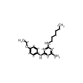 CCCCCCNc1nc(N)nc(Nc2ccc(OCC)cc2)n1